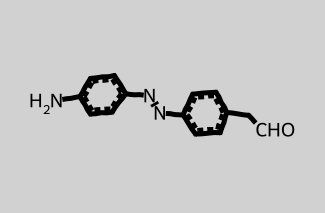 Nc1ccc(N=Nc2ccc(CC=O)cc2)cc1